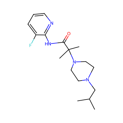 CC(C)CN1CCN(C(C)(C)C(=O)Nc2ncccc2F)CC1